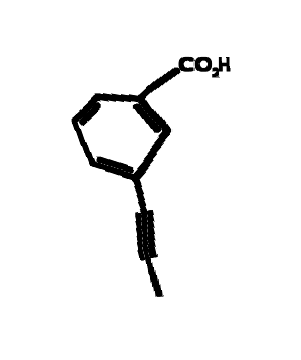 CC#Cc1cccc(C(=O)O)c1